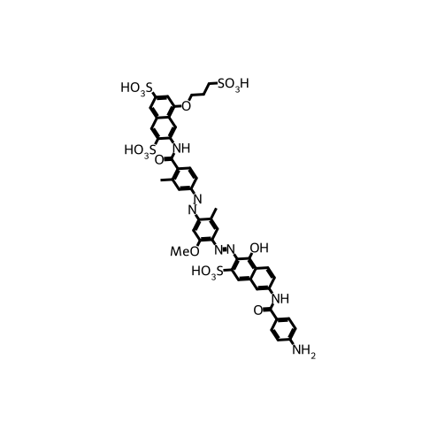 COc1cc(N=Nc2ccc(C(=O)Nc3cc4c(OCCCS(=O)(=O)O)cc(S(=O)(=O)O)cc4cc3S(=O)(=O)O)c(C)c2)c(C)cc1N=Nc1c(S(=O)(=O)O)cc2cc(NC(=O)c3ccc(N)cc3)ccc2c1O